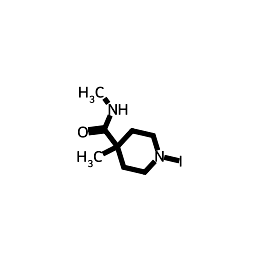 CNC(=O)C1(C)CCN(I)CC1